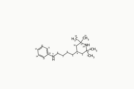 CC1(C)CC(CCCCNc2ccccc2)CC(C)(C)N1